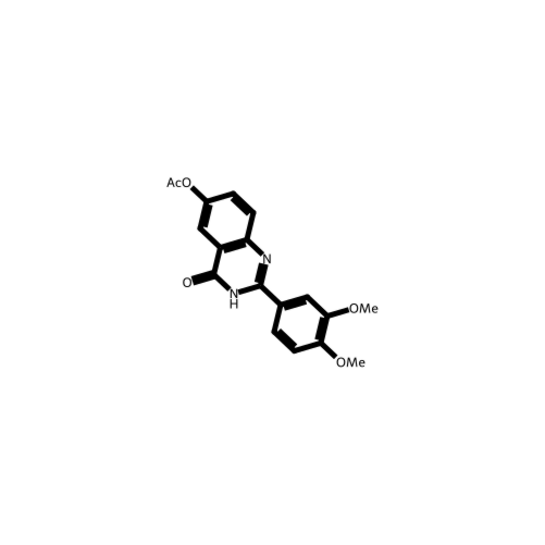 COc1ccc(-c2nc3ccc(OC(C)=O)cc3c(=O)[nH]2)cc1OC